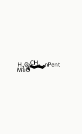 CCCCCCCC[Si](C)(C)OC